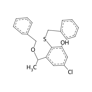 CC(OCc1ccccc1)c1cc(Cl)cc(O)c1SCc1ccccc1